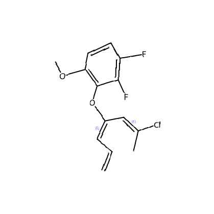 C=C/C=C(\C=C(/C)Cl)Oc1c(OC)ccc(F)c1F